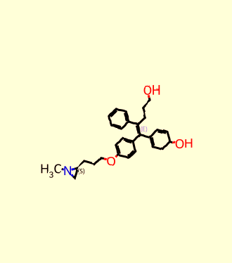 CN1C[C@@H]1CCCOc1ccc(/C(C2=CCC(O)C=C2)=C(/CCCO)c2ccccc2)cc1